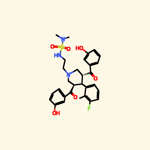 Cc1c(F)cccc1C1[C@@H](C(=O)c2cccc(O)c2)CN(CCNS(=O)(=O)N(C)C)C[C@@H]1C(=O)c1cccc(O)c1